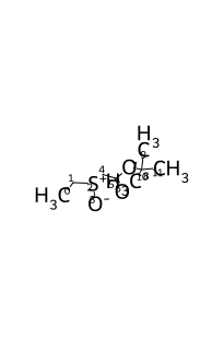 CC[S+]([O-])CC(=O)OC(C)(C)C